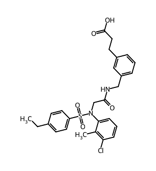 CCc1ccc(S(=O)(=O)N(CC(=O)NCc2cccc(CCC(=O)O)c2)c2cccc(Cl)c2C)cc1